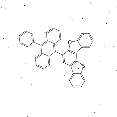 c1ccc(-c2c3ccccc3c(-c3cc4c5ccccc5sc4c4c3oc3ccccc34)c3ccccc23)cc1